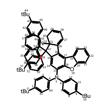 CC(C)(C)c1ccc(N(c2ccc(C(C)(C)C)cc2)c2cc3c(c4c2oc2ccccc24)C2=CC=CCC2(N(c2ccc(C(C)(C)C)cc2)c2ccc(C(C)(C)C)cc2)C3(c2ccccc2)c2ccccc2)cc1